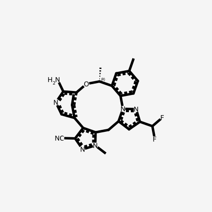 Cc1ccc2c(c1)[C@@H](C)Oc1cc(cnc1N)-c1c(C#N)nn(C)c1Cc1cc(C(F)F)nn1-2